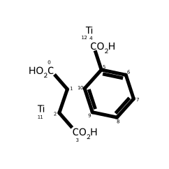 O=C(O)CCC(=O)O.O=C(O)c1ccccc1.[Ti].[Ti]